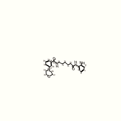 Nc1ccccc1NC(=O)CCCCCNC(=O)c1cccc(N2CCOCC2)c1